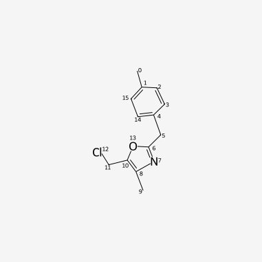 Cc1ccc(Cc2nc(C)c(CCl)o2)cc1